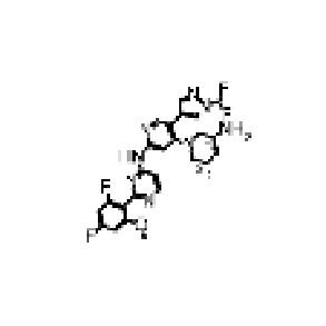 COc1cc(F)cc(F)c1-c1nccc(Nc2cc(N3C[C@@H](C)C[C@H](N)C3)c(-c3cnn(C(F)F)c3)cn2)n1